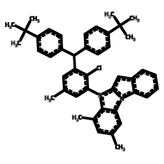 Cc1cc(C(c2ccc(C(C)(C)C)cc2)c2ccc(C(C)(C)C)cc2)c(Cl)c(-n2c3c(C)cc(C)cc3n3c4ccccc4cc23)c1